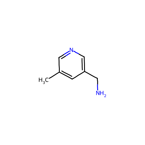 Cc1cncc(CN)c1